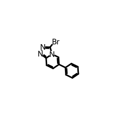 Brc1nnc2ccc(-c3ccccc3)cn12